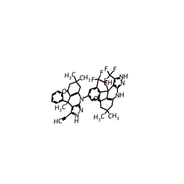 C#Cc1[nH]nc2c1C(C)(c1ccccc1)C1=C(CC(C)(C)CC1=O)N2c1ccc(C2(C)C3=C(CC(C)(C)CC3=O)Nc3n[nH]c(C(F)(F)F)c32)c(C(F)(F)F)c1